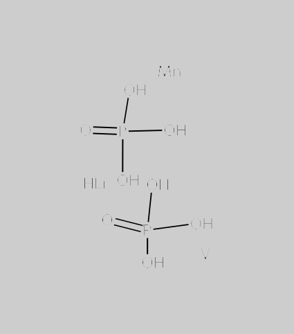 O=P(O)(O)O.O=P(O)(O)O.[LiH].[Mn].[V]